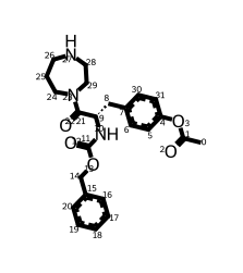 CC(=O)Oc1ccc(C[C@H](NC(=O)OCc2ccccc2)C(=O)N2CCCNCC2)cc1